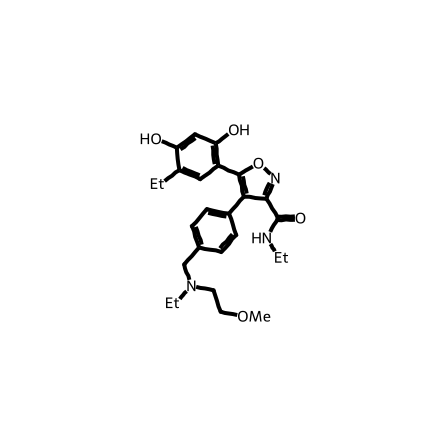 CCNC(=O)c1noc(-c2cc(CC)c(O)cc2O)c1-c1ccc(CN(CC)CCOC)cc1